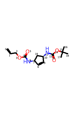 C=CCOC(=O)N[C@@H]1C=C[C@H](NC(=O)OC(C)(C)C)C1